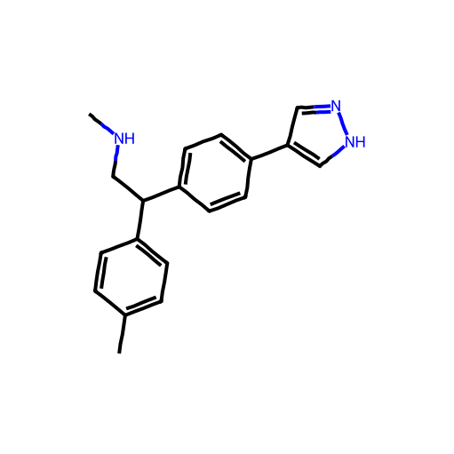 CNCC(c1ccc(C)cc1)c1ccc(-c2cn[nH]c2)cc1